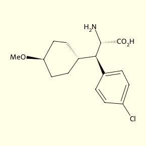 CO[C@H]1CC[C@H]([C@H](c2ccc(Cl)cc2)[C@H](N)C(=O)O)CC1